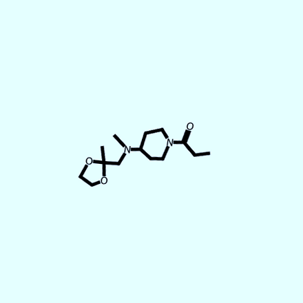 CCC(=O)N1CCC(N(C)CC2(C)OCCO2)CC1